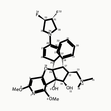 COc1cc2c(c(OC)n1)[C@]1(O)[C@H](O)[C@H](CN(C)C)[C@@H](c3ccccc3)[C@]1(C1C=CC(N3C[C@@H](F)[C@H](F)C3)=CC1)O2